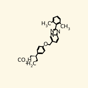 C=C[C@@H](CC(=O)O)c1ccc(OCc2ccc3nc(-c4c(C)cccc4C)nn3c2)cc1